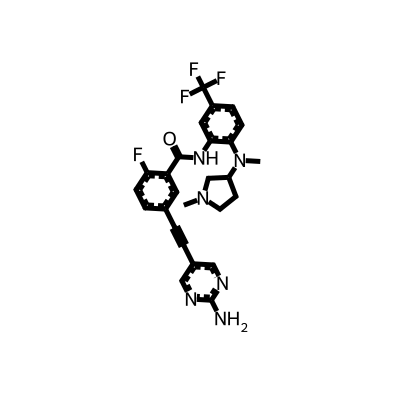 CN1CCC(N(C)c2ccc(C(F)(F)F)cc2NC(=O)c2cc(C#Cc3cnc(N)nc3)ccc2F)C1